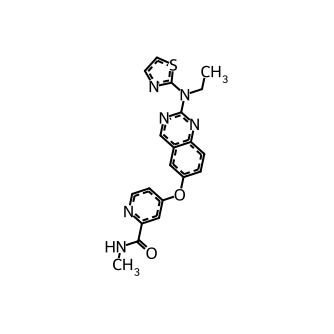 CCN(c1ncc2cc(Oc3ccnc(C(=O)NC)c3)ccc2n1)c1nccs1